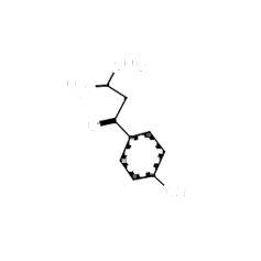 Cc1ccc(C(=O)CC(C)C=O)cc1